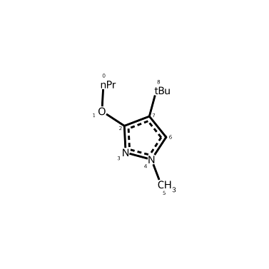 CCCOc1nn(C)cc1C(C)(C)C